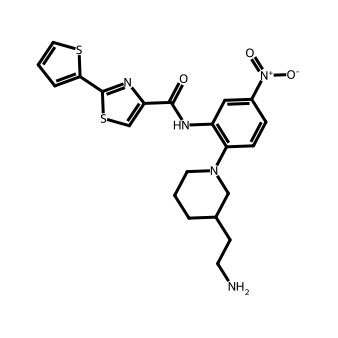 NCCC1CCCN(c2ccc([N+](=O)[O-])cc2NC(=O)c2csc(-c3cccs3)n2)C1